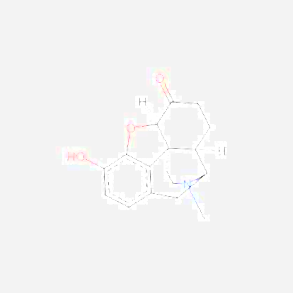 CN1CC[C@]23c4c5ccc(O)c4O[C@H]2C(=O)CC[C@H]3C1C5